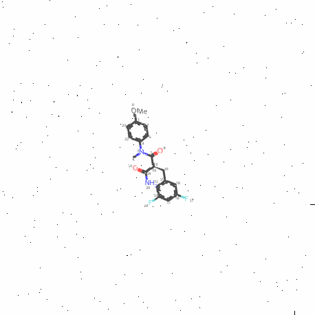 COc1ccc(N(C)C(=O)[C@@H](Cc2cc(F)cc(F)c2)C(N)=O)cc1